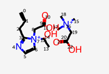 C=CCC1=NC=C[N+]1(CC(=O)O)C(C)O.C[N+](C)(C)CC(=O)O